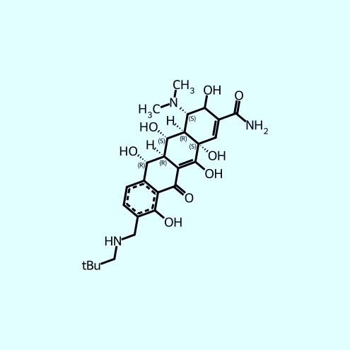 CN(C)[C@@H]1C(O)C(C(N)=O)=C[C@@]2(O)C(O)=C3C(=O)c4c(ccc(CNCC(C)(C)C)c4O)[C@H](O)[C@H]3[C@H](O)[C@@H]12